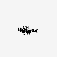 Cc1cc(C#N)nn1-c1nc(-n2cnc3cc(N4CCN(C5COC5)CC4)ccc32)ccc1C(C)O